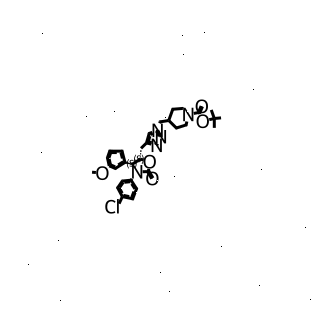 COc1cccc([C@H]2[C@H](Cc3cn(CC4CCN(C(=O)OC(C)(C)C)CC4)nn3)OC(=O)N2c2ccc(Cl)cc2)c1